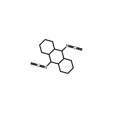 C=C=NC1C2CCCCC2C(N=C=C)C2CCCCC21